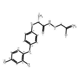 C=C(Cl)CONC(=O)[C@@H](C)Oc1ccc(Oc2ncc(Cl)cc2Cl)cc1